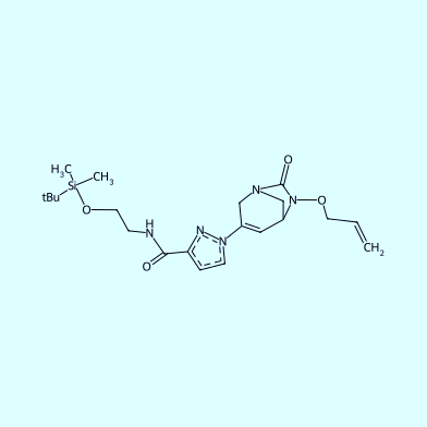 C=CCON1C(=O)N2CC(n3ccc(C(=O)NCCO[Si](C)(C)C(C)(C)C)n3)=CC1C2